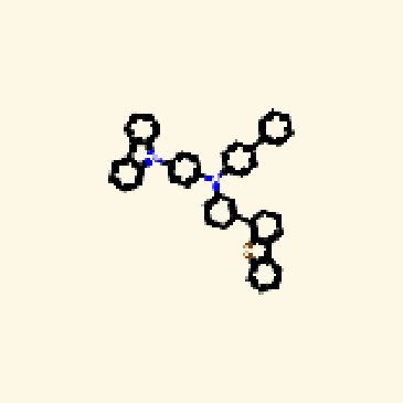 C1=C(C2=c3sc4ccccc4c3=CCC2)CCC=C1N(c1ccc(-c2ccccc2)cc1)c1ccc(-n2c3ccccc3c3ccccc32)cc1